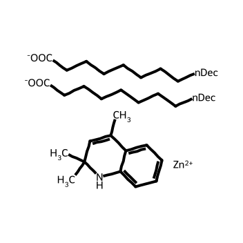 CC1=CC(C)(C)Nc2ccccc21.CCCCCCCCCCCCCCCCCC(=O)[O-].CCCCCCCCCCCCCCCCCC(=O)[O-].[Zn+2]